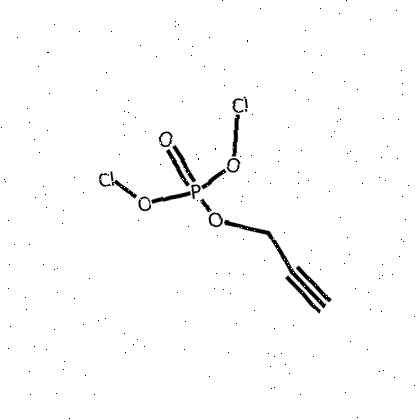 C#CCOP(=O)(OCl)OCl